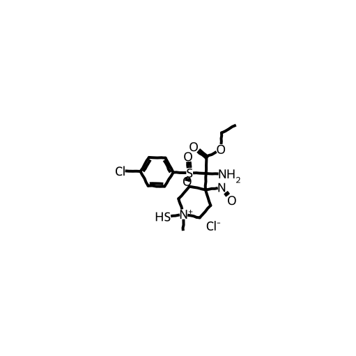 CCOC(=O)C(N)(C1(N=O)CC[N+](C)(S)CC1)S(=O)(=O)c1ccc(Cl)cc1.[Cl-]